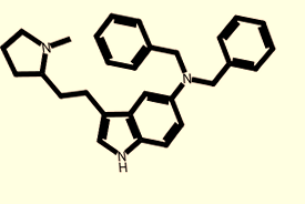 CN1CCCC1CCc1c[nH]c2ccc(N(Cc3ccccc3)Cc3ccccc3)cc12